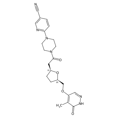 Cc1c(OC[C@H]2CC[C@@H](CC(=O)N3CCN(c4ccc(C#N)cn4)CC3)O2)cn[nH]c1=O